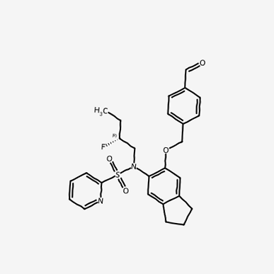 CC[C@@H](F)CN(c1cc2c(cc1OCc1ccc(C=O)cc1)CCC2)S(=O)(=O)c1ccccn1